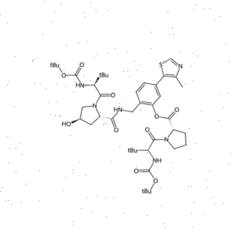 Cc1ncsc1-c1ccc(CNC(=O)[C@@H]2C[C@@H](O)CN2C(=O)[C@@H](NC(=O)OC(C)(C)C)C(C)(C)C)c(OC(=O)[C@@H]2CCCN2C(=O)C(NC(=O)OC(C)(C)C)C(C)(C)C)c1